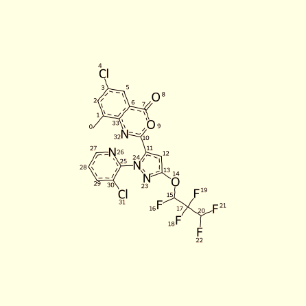 Cc1cc(Cl)cc2c(=O)oc(-c3cc(OC(F)C(F)(F)C(F)F)nn3-c3ncccc3Cl)nc12